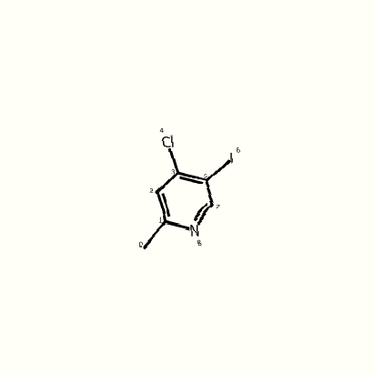 Cc1cc(Cl)c(I)cn1